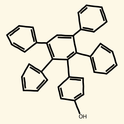 Oc1ccc(-c2c(-c3ccccc3)c(-c3ccccc3)cc(-c3ccccc3)c2-c2ccccc2)cc1